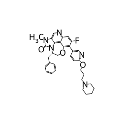 Cn1c(=O)n2c3c4c(c(-c5ccc(OCCCN6CCCCC6)nc5)c(F)cc4ncc31)OC[C@@H]2Cc1ccccc1